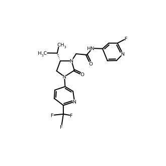 CC(C)[C@H]1CN(c2ccc(C(F)(F)F)nc2)C(=O)N1CC(=O)Nc1ccnc(F)c1